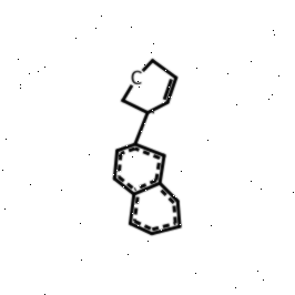 C1=C[C](c2ccc3ccccc3c2)CCC1